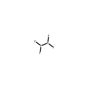 FP(F)P(F)F